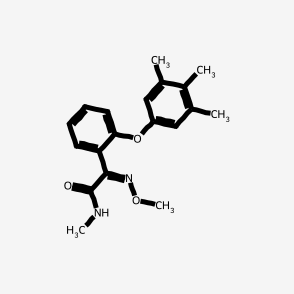 CNC(=O)C(=NOC)c1ccccc1Oc1cc(C)c(C)c(C)c1